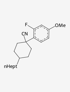 CCCCCCCC1CCC(C#N)(c2ccc(OC)cc2F)CC1